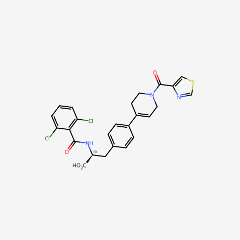 O=C(N[C@@H](Cc1ccc(C2=CCN(C(=O)c3cscn3)CC2)cc1)C(=O)O)c1c(Cl)cccc1Cl